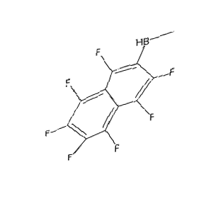 CBc1c(F)c(F)c2c(F)c(F)c(F)c(F)c2c1F